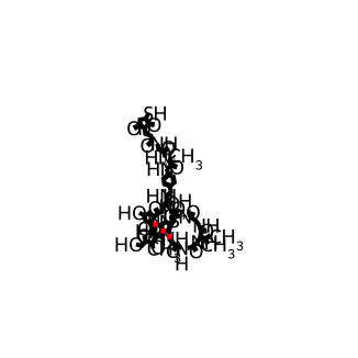 CCC(C)C1NC(=O)CNC(=O)C2Cc3c([nH]c4ccccc34)[S+]([O-])C(NC(=O)CNC1=O)C(=O)NC(CC(=O)NCc1ccc(NC(=O)[C@H](C)NC(=O)CNC(=O)CCN3C(=O)CC(S)C3=O)cc1)C(=O)N1CC(O)CC1C(=O)NC(C(C)C(O)CO)C(=O)N2